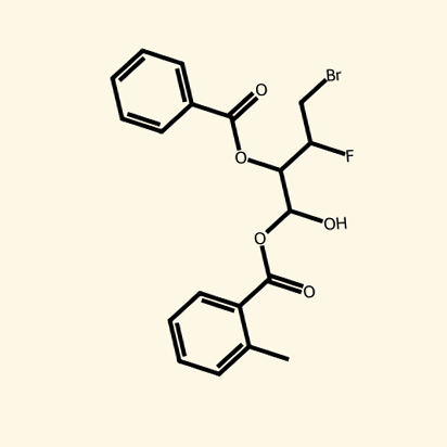 Cc1ccccc1C(=O)OC(O)C(OC(=O)c1ccccc1)C(F)CBr